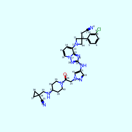 N#CCC1(c2cccc(Cl)c2)CN(c2cccn3nc(Nc4cnn(CC(=O)N5CCC(NCC6(C#N)CC6)CC5)c4)nc23)C1